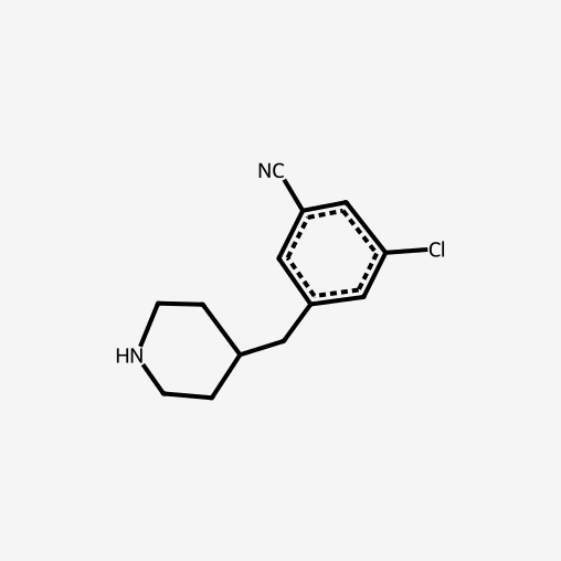 N#Cc1cc(Cl)cc(CC2CCNCC2)c1